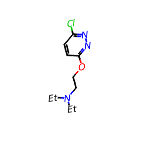 CCN(CC)CCOc1ccc(Cl)nn1